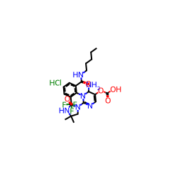 CCCCCNC(=O)c1cccc(C(F)(F)F)c1N1C(N2CC(C)(C)NC2=O)=NC=C(OC(=O)O)C1N.Cl